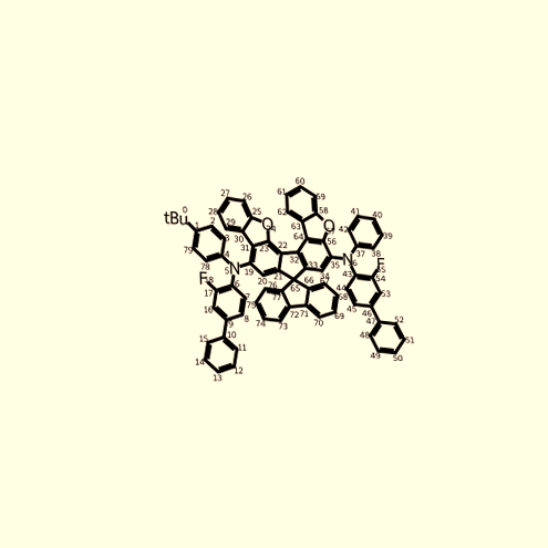 CC(C)(C)c1ccc(N(c2ccc(-c3ccccc3)cc2F)c2cc3c(c4oc5ccccc5c24)-c2c(cc(N(c4ccccc4)c4ccc(-c5ccccc5)cc4F)c4oc5ccccc5c24)C32c3ccccc3-c3ccccc32)cc1